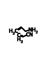 C=CC#N.C=CCN